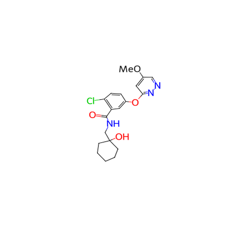 COc1cnnc(Oc2ccc(Cl)c(C(=O)NCC3(O)CCCCC3)c2)c1